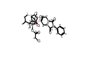 CC1CC[C@@]23C[C@H](O)C(=O)[C@@]2(O)[C@]1(C)[C@H](OC(=O)CCl)C[C@@H](C1=CCn2c(=O)n(-c4ccccc4)c(=O)n2C1)[C@@H]3C